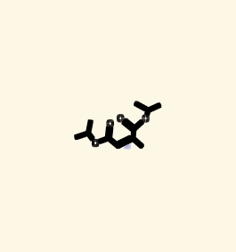 C/C(=C/C(=O)OC(C)C)C(=O)OC(C)C